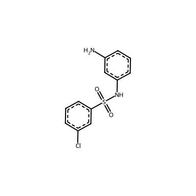 Nc1cccc(NS(=O)(=O)c2cccc(Cl)c2)c1